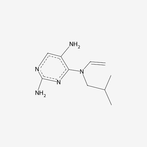 C=CN(CC(C)C)c1nc(N)ncc1N